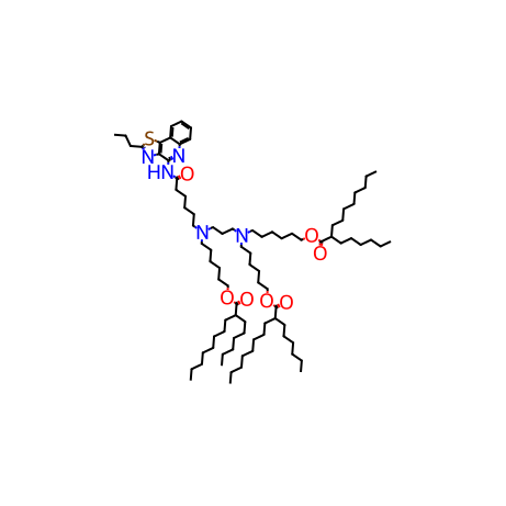 CCCCCCCCC(CCCCCC)C(=O)OCCCCCCN(CCCCCCOC(=O)C(CCCCCC)CCCCCCCC)CCCN(CCCCCCOC(=O)C(CCCCCC)CCCCCCCC)CCCCCC(=O)Nc1nc2ccccc2c2sc(CCC)nc12